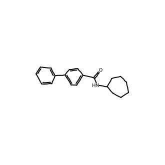 O=C(NC1CCCCCC1)c1ccc(-c2ccccc2)cc1